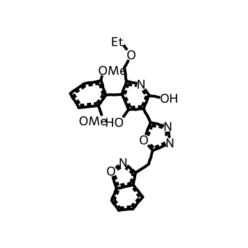 CCOCc1nc(O)c(-c2nnc(Cc3noc4ccccc34)o2)c(O)c1-c1c(OC)cccc1OC